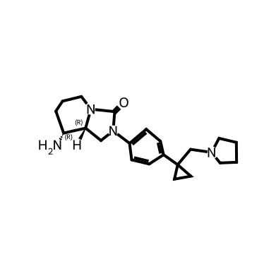 N[C@@H]1CCCN2C(=O)N(c3ccc(C4(CN5CCCC5)CC4)cc3)C[C@H]12